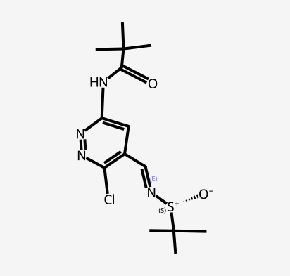 CC(C)(C)C(=O)Nc1cc(/C=N/[S@+]([O-])C(C)(C)C)c(Cl)nn1